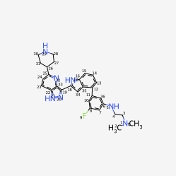 CN(C)CCNc1cc(F)cc(-c2cccc3[nH]c(-c4n[nH]c5ccc(C6CCNCC6)nc45)cc23)c1